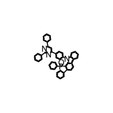 O=P1(c2ccccc2)c2ccccc2-c2ccc3c4ccccc4n(-c4ccc(-c5cc(-c6ccccc6)nc(-c6ccccc6)n5)cc4)c3c21